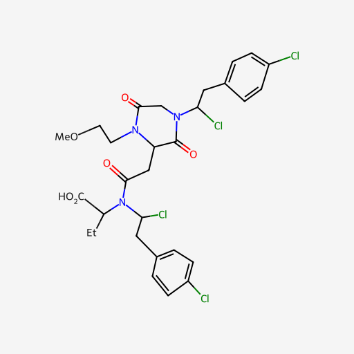 CCC(C(=O)O)N(C(=O)CC1C(=O)N(C(Cl)Cc2ccc(Cl)cc2)CC(=O)N1CCOC)C(Cl)Cc1ccc(Cl)cc1